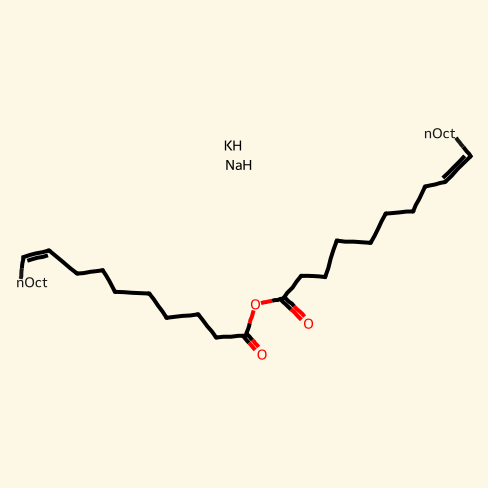 CCCCCCCC/C=C\CCCCCCCC(=O)OC(=O)CCCCCCC/C=C\CCCCCCCC.[KH].[NaH]